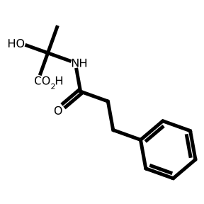 CC(O)(NC(=O)CCc1ccccc1)C(=O)O